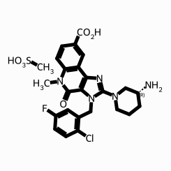 CS(=O)(=O)O.Cn1c(=O)c2c(nc(N3CCC[C@@H](N)C3)n2Cc2cc(F)ccc2Cl)c2cc(C(=O)O)ccc21